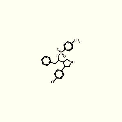 Cc1ccc(S(=O)(=O)OC(Cc2ccccc2)C2CNCC2c2ccc(Cl)cc2)cc1